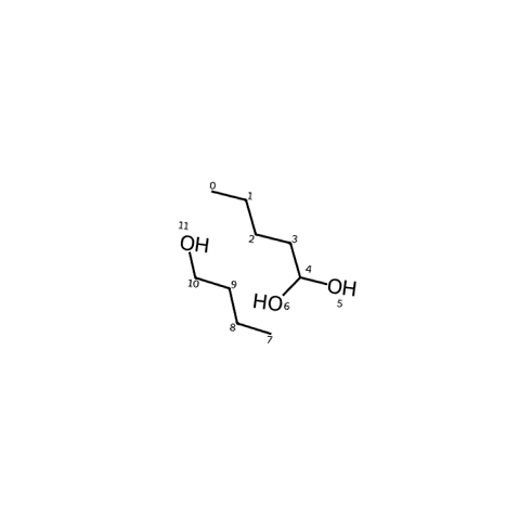 CCCCC(O)O.CCCCO